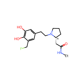 CCNC(=O)C[C@H]1CCCN1CCc1cc(O)c(O)c(CF)c1